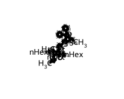 C=c1c2c(c(-c3ccc(C)s3)n1CC(CCCCCC)CCCCCCCC)C(=O)N(CC(CCCCCC)CCCCCCCC)C=2c1ccc(-c2cc3c(s2)c2sc(C)cc2c2oc(-c4ccccc4)c(-c4ccccc4)c32)s1